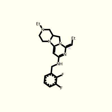 CC/C=C1/N=C(NCc2cccc(F)c2F)C=C2N1CC1CN(CC)CCN21